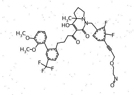 COc1cccc(-c2cc(C(F)(F)F)ccc2CCCC(=O)C2=C(O)C3(C)CCCN3N(Cc3ccc(C#CCOCCN=O)c(F)c3F)C2=O)c1OC